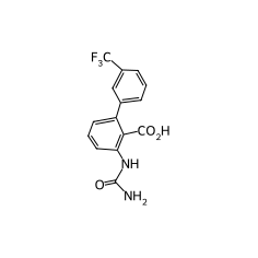 NC(=O)Nc1cccc(-c2cccc(C(F)(F)F)c2)c1C(=O)O